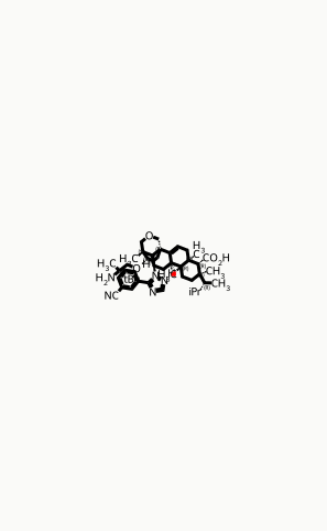 CC(C)[C@@H](C)[C@@]1(C)CC[C@]2(C)[C@H]3CC[C@@H]4[C@@]5(COC[C@@]4(C)[C@@H](OC[C@](C)(N)C(C)(C)C)[C@H](n4ncnc4-c4cccc(C#N)c4)C5)C3=CC[C@@]2(C)[C@@H]1C(=O)O